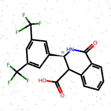 O=C1N[C@H](c2cc(C(F)(F)F)cc(C(F)(F)F)c2)C(C(=O)O)c2ccccc21